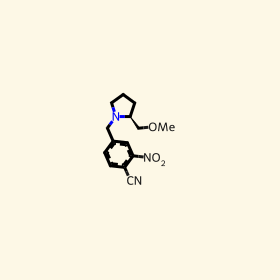 COC[C@@H]1CCCN1Cc1ccc(C#N)c([N+](=O)[O-])c1